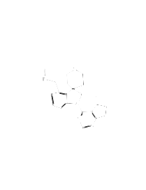 CC(C)NCc1cccc2c1C1(CCNCC1)CN2c1ncnc2c1[C@H](C)CC2